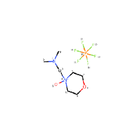 C[N](C)[U][N+]1([O-])CCOCC1.F[P-](F)(F)(F)(F)F